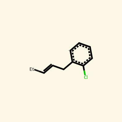 CCC=CCc1[c]cccc1Cl